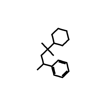 CC(CC(C)(C)C1CCCCC1)c1ccccc1